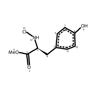 COC(=O)[C@H](Cc1ccc(O)cc1)NCl